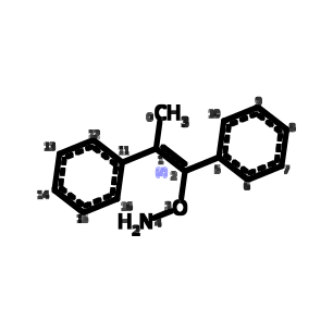 C/C(=C(/ON)c1ccccc1)c1ccccc1